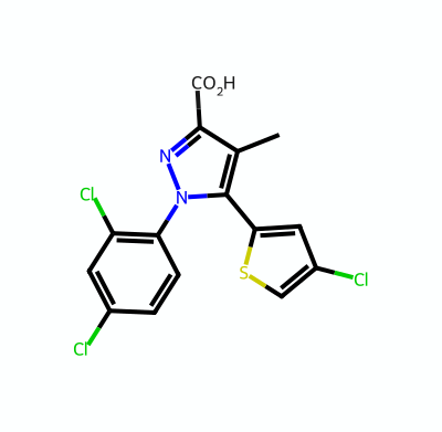 Cc1c(C(=O)O)nn(-c2ccc(Cl)cc2Cl)c1-c1cc(Cl)cs1